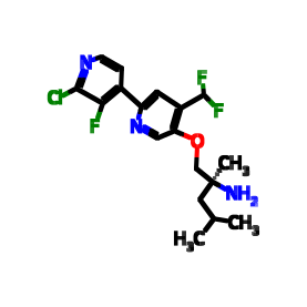 CC(C)C[C@](C)(N)COc1cnc(-c2ccnc(Cl)c2F)cc1C(F)F